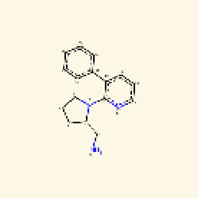 NC[C@@H]1CCCN1c1ncccc1-c1ccccc1